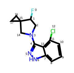 FC1CN(c2n[nH]c3cccc(Cl)c23)CC12CC2